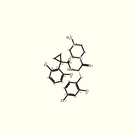 CN1CCN(C(=O)[C@H](Cc2ccc(Cl)cc2Cl)NC(=O)C2(c3c(Cl)cccc3Cl)CC2)CC1